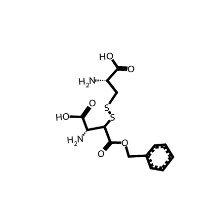 N[C@H](C(=O)O)C(SSC[C@H](N)C(=O)O)C(=O)OCc1ccccc1